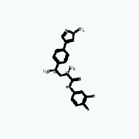 C[C@H](C[C@H](C)C(=O)Nc1ccc(F)c(Cl)c1)c1ccc(-c2cnn(C)c2)cc1